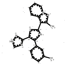 Cc1nn2ccccc2c1-c1nc(-c2cccc(C(F)(F)F)c2)c(-c2nc[nH]n2)s1